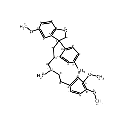 COc1ccc2c(c1)C(CCCN(C)CCc1ccc(OC)c(OC)c1)(c1ccc(C)cc1)CO2